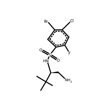 CC(C)(C)[C@H](CN)NS(=O)(=O)c1cc(Br)c(Cl)cc1F